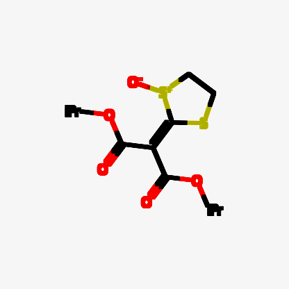 CC(C)OC(=O)C(C(=O)OC(C)C)=C1SCC[S+]1[O-]